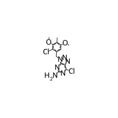 COc1cc(Cn2nnc3c(Cl)nc(N)nc32)c(Cl)c(OC)c1C